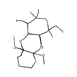 COC12CCCCC1(OC)OC1C(O2)C(I)C(C)(C)CC1(C)CI